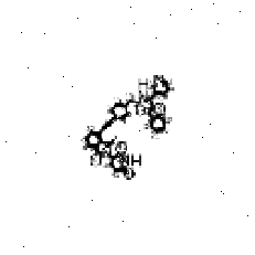 C=C1c2c(C#Cc3ccc(CC(=O)NC(c4cccnc4)c4cc5ccccc5o4)cc3)cccc2C(=O)N1C1CCC(=O)NC1=O